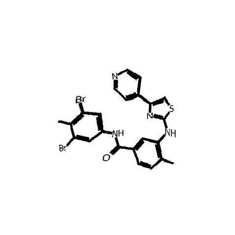 Cc1ccc(C(=O)Nc2cc(Br)c(C)c(Br)c2)cc1Nc1nc(-c2ccncc2)cs1